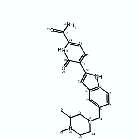 CC1CN(Cc2ccc3[nH]c(-c4c[c]c(C(N)=O)[nH]c4=O)cc3c2)CCN1C